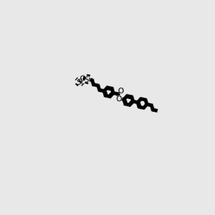 CCCC1CC=C(c2ccc(OC(=O)c3ccc(CCCC[Si](C)(C)O[Si](C)(C)C)cc3)cc2)CC1